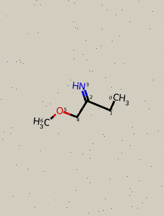 CCC(=N)COC